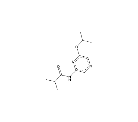 CC(C)Oc1cncc(NC(=O)C(C)C)n1